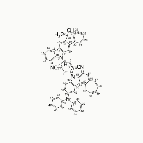 CC(C#N)/C=C(\C(C#N)=C/Cn1c2ccccc2c2cc3c(cc21)-c1ccc#cc1C3(C)C)n1c2ccc(N(c3ccccc3)c3ccccc3)cc2c2c3c(ccc21)C=CC#CC3